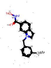 COc1cccc(Cn2ccc3ccc(C(=O)NO)cc32)c1